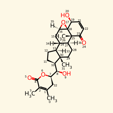 CC1=C(C)C(=O)O[C@@H]([C@H](O)[C@H]2CC[C@H]3[C@@H]4C[C@H]5O[C@]56[C@@H](O)C=CC(=O)[C@]6(C)[C@H]4CC[C@]23C)C1